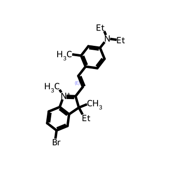 CCN(CC)c1ccc(/C=C/C2=[N+](C)c3ccc(Br)cc3C2(C)CC)c(C)c1